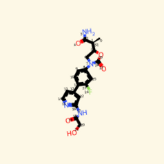 C[C@H](C(N)=O)C1CN(c2ccc(-c3ccnc(NC(=O)CO)c3)c(F)c2)C(=O)O1